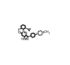 CN1CCN(c2ccc(-c3n[nH]c4cc(=O)n(-c5c(F)cccc5C5CC5)nc34)cc2)CC1